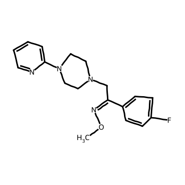 CON=C(CN1CCN(c2ccccn2)CC1)c1ccc(F)cc1